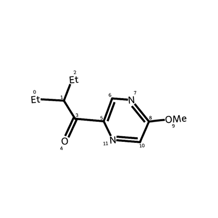 CCC(CC)C(=O)c1cnc(OC)cn1